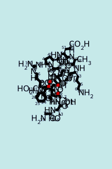 CCCCCCCC(=O)N(C(=O)[C@H](CO)NC(=O)[C@H](CO)NC(=O)CN)[C@@H](Cc1ccccc1)C(=O)N[C@@H](CC(C)C)C(=O)N[C@@H](CO)C(=O)N1CCC[C@H]1C(=O)N[C@@H](CCC(=O)O)C(=O)N[C@@H](C)C(=O)N[C@@H](CCCCN)C(=O)N[C@@H](CC(C)C)C(=O)N[C@@H](CCC(N)=O)C(=O)N1CCC[C@H]1C(=O)N[C@@H](CCCNC(=N)N)C(=O)O